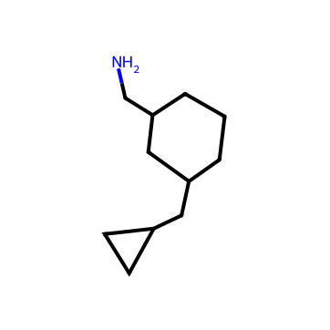 NCC1CCCC(CC2CC2)C1